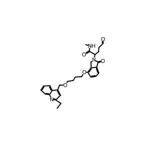 CCc1cc(COCCCCOc2cccc3c2CN(C(CCC=O)C(=O)NC)C3=O)c2ccccc2n1